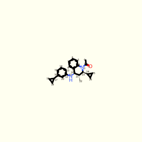 CC(=O)N1c2ccccc2[C@H](Nc2cccc(C3CC3)c2)[C@@H](C)[C@@H]1C1CC1